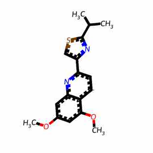 COc1cc(OC)c2[c]cc(-c3csc(C(C)C)n3)nc2c1